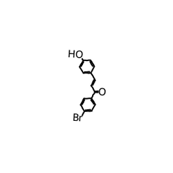 O=C(C=Cc1ccc(O)cc1)c1ccc(Br)cc1